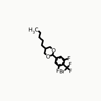 CCCCCC1COC(c2cc(F)c(C(F)(F)Br)c(F)c2)OC1